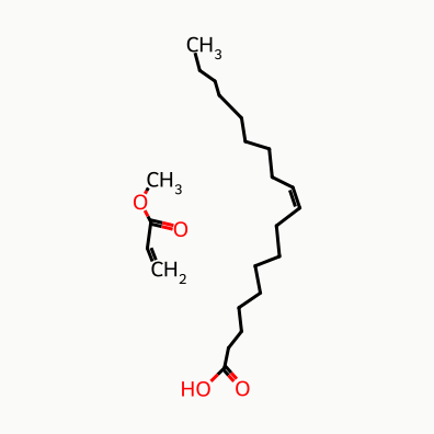 C=CC(=O)OC.CCCCCCCC/C=C\CCCCCCCC(=O)O